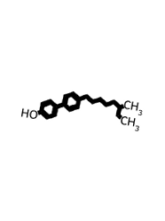 CCC(C)CCCCCc1ccc(-c2ccc(O)cc2)cc1